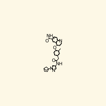 Cc1cc(CC(=O)Nc2cnn(C34CCC(C3)C4)c2)ccc1Oc1ccnc2ccc(C(N)=O)cc12